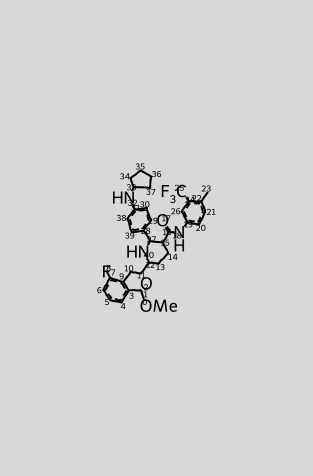 COC(=O)c1cccc(F)c1CCC1CCC(C(=O)Nc2ccc(C)c(C(F)(F)F)c2)C(c2ccc(NC3CCCC3)cc2)N1